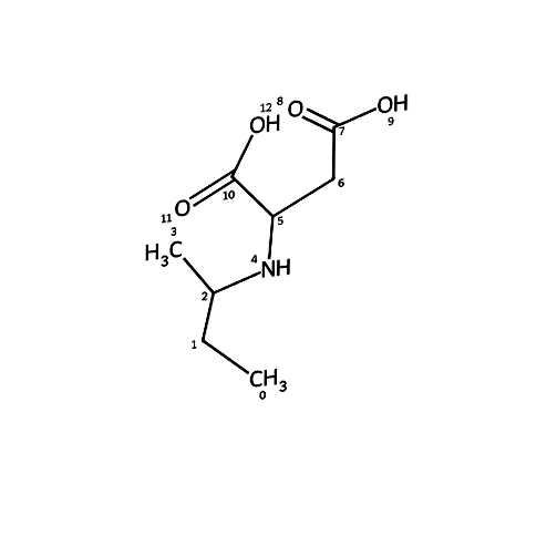 CCC(C)NC(CC(=O)O)C(=O)O